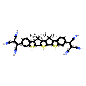 CC1(C)c2c(sc3c2C(C)(C)c2c-3sc3cc(C(C#N)=C(C#N)C#N)ccc23)-c2sc3cc(C(C#N)=C(C#N)C#N)ccc3c21